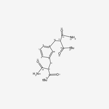 CC(C)(C)C(=O)C(Cc1cccc(CC(C(N)=O)C(=O)C(C)(C)C)c1)C(N)=O